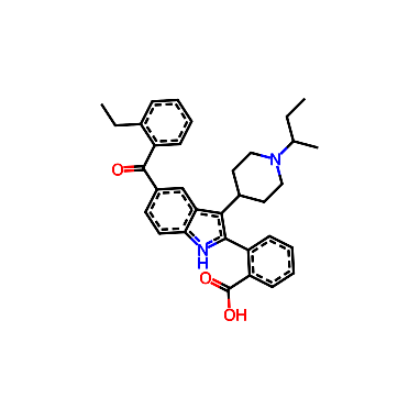 CCc1ccccc1C(=O)c1ccc2[nH]c(-c3ccccc3C(=O)O)c(C3CCN(C(C)CC)CC3)c2c1